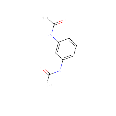 CC(C)(C)C(=O)Nc1cccc(NC(=O)C(C)(C)C)c1